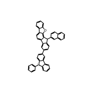 c1ccc(-n2c3ccccc3c3cc(-c4ccc5c(c4)-c4ccc6c(oc7ccccc76)c4C5c4ccc5ccccc5c4)ccc32)cc1